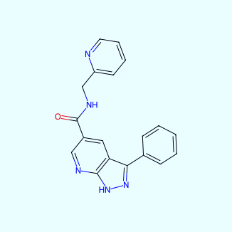 O=C(NCc1ccccn1)c1cnc2[nH]nc(-c3ccccc3)c2c1